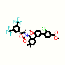 COC(=O)c1ccc(-c2ccc(OC)c(C3=C(CN4C(=O)O[C@H](c5cc(C(F)(F)F)cc(C(F)(F)F)c5)[C@@H]4C)CC(C)(C)CC3)c2)c(Cl)c1